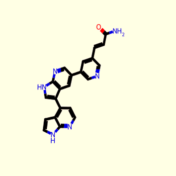 NC(=O)C=Cc1cncc(-c2cnc3[nH]cc(-c4ccnc5[nH]ccc45)c3c2)c1